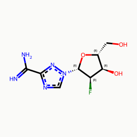 N=C(N)c1ncn([C@@H]2O[C@H](CO)[C@@H](O)[C@H]2F)n1